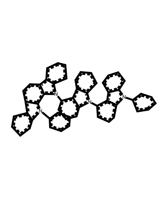 c1ccc(-n2c3ccccc3c3c(-n4c5ccccc5c5c(-n6c7ccccc7c7ccc8c9ccccc9n(-c9ccccc9)c8c76)cccc54)cccc32)cc1